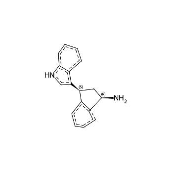 N[C@@H]1C[C@H](c2c[nH]c3ccccc23)c2ccccc21